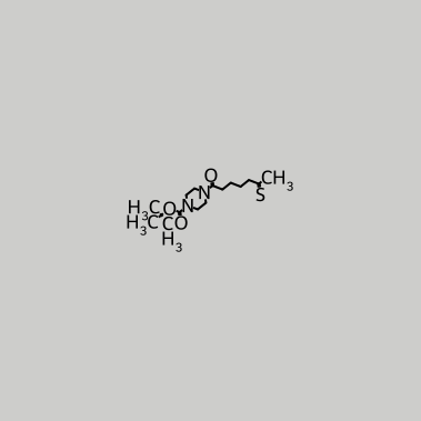 CC(=S)CCCCC(=O)N1CCN(C(=O)OC(C)(C)C)CC1